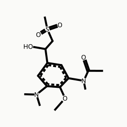 COc1c(N(C)C)cc(C(O)CS(C)(=O)=O)cc1N(C)C(C)=O